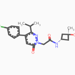 CC(C)c1nn(CC(=O)N[C@H]2C[C@](C)(O)C2)c(=O)cc1-c1ccc(F)cc1